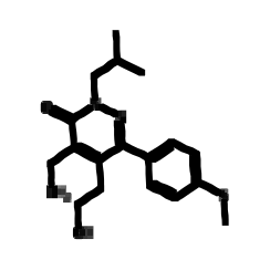 CSc1ccc(-c2nn(CC(C)C)c(=O)c(CN)c2CCO)cc1